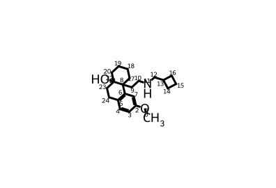 COc1ccc2c(c1)C1(CCNCC3CCC3)CCCCC1(O)CC2